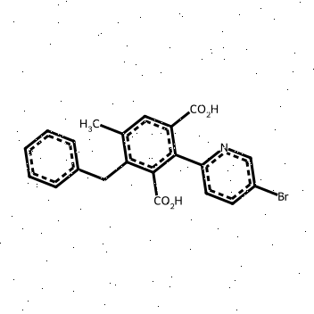 Cc1cc(C(=O)O)c(-c2ccc(Br)cn2)c(C(=O)O)c1Cc1ccccc1